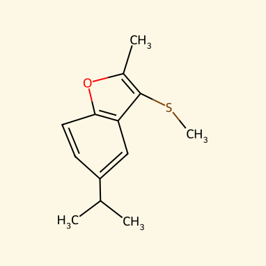 CSc1c(C)oc2ccc(C(C)C)cc12